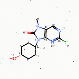 Cn1c(=O)n([C@]2(C)CC[C@@H](O)CC2)c2nc(Cl)ncc21